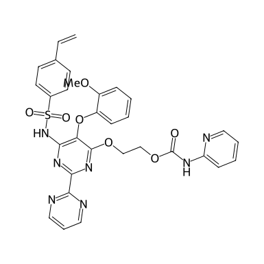 C=Cc1ccc(S(=O)(=O)Nc2nc(-c3ncccn3)nc(OCCOC(=O)Nc3ccccn3)c2Oc2ccccc2OC)cc1